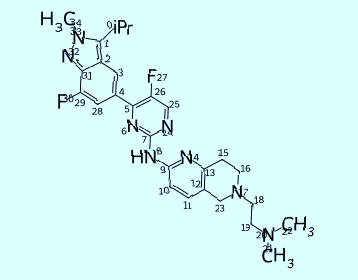 CC(C)c1c2cc(-c3nc(Nc4ccc5c(n4)CCN(CCN(C)C)C5)ncc3F)cc(F)c2nn1C